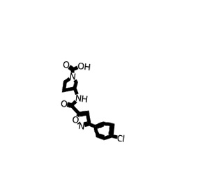 O=C(NC1CCN(C(=O)O)C1)c1cc(-c2ccc(Cl)cc2)no1